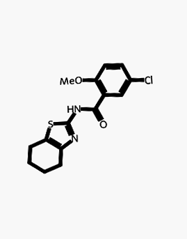 COc1ccc(Cl)cc1C(=O)Nc1nc2c(s1)CCCC2